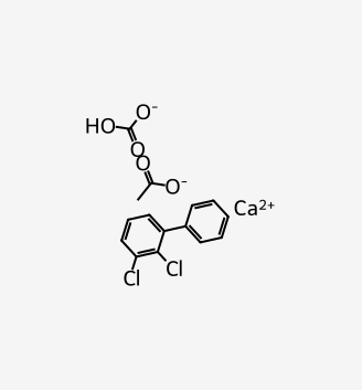 CC(=O)[O-].Clc1cccc(-c2ccccc2)c1Cl.O=C([O-])O.[Ca+2]